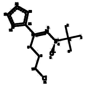 CC(C)(C)[S@+]([O-])N=C(CCCCl)c1cccs1